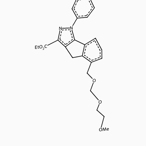 CCOC(=O)c1nn(-c2ccccc2)c2c1Cc1c(COCOCCOC)cccc1-2